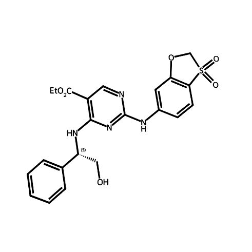 CCOC(=O)c1cnc(Nc2ccc3c(c2)OCS3(=O)=O)nc1N[C@H](CO)c1ccccc1